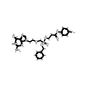 Nc1nc2c(ncn2CCOCP(=O)(OCCC(=O)Oc2ccc(F)cc2)OCc2ccccc2)c(=O)[nH]1